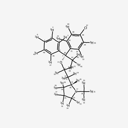 [2H]c1c([2H])c([2H])c([C@@](OC([2H])([2H])C([2H])([2H])[C@]2([2H])N(C([2H])([2H])[2H])C([2H])([2H])C([2H])([2H])C2([2H])[2H])(c2c([2H])c([2H])c(Cl)c([2H])c2[2H])C([2H])([2H])[2H])c([2H])c1[2H]